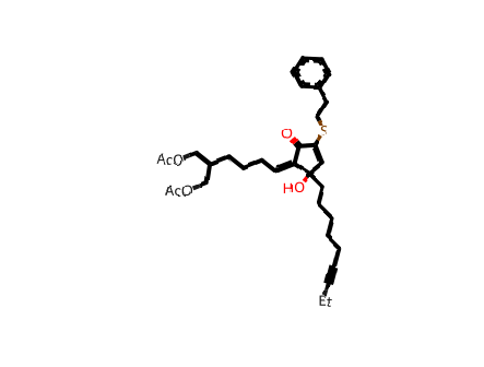 CCC#CCCCCCC1(O)C=C(SCCc2ccccc2)C(=O)C1=CCCCC(COC(C)=O)COC(C)=O